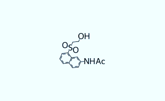 CC(=O)Nc1ccc2cccc(S(=O)(=O)CCO)c2c1